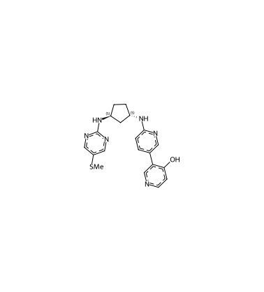 CSc1cnc(N[C@H]2CC[C@H](Nc3ccc(-c4cnccc4O)cn3)C2)nc1